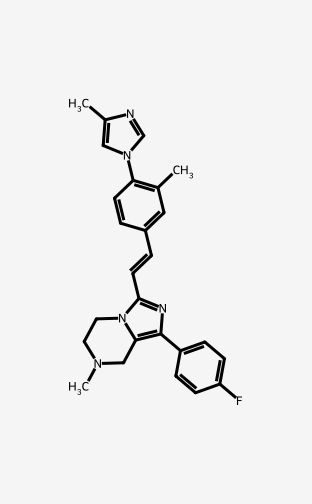 Cc1cn(-c2ccc(/C=C/c3nc(-c4ccc(F)cc4)c4n3CCN(C)C4)cc2C)cn1